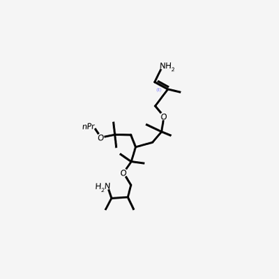 CCCOC(C)(C)CC(CC(C)(C)OC/C(C)=C/N)C(C)(C)OCC(C)C(C)N